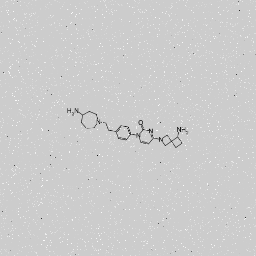 NC1CCCN(CCc2ccc(-n3ccc(N4CC5(CCC5N)C4)nc3=O)cc2)CC1